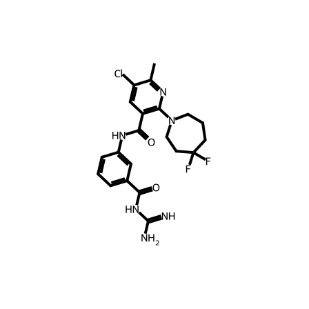 Cc1nc(N2CCCC(F)(F)CC2)c(C(=O)Nc2cccc(C(=O)NC(=N)N)c2)cc1Cl